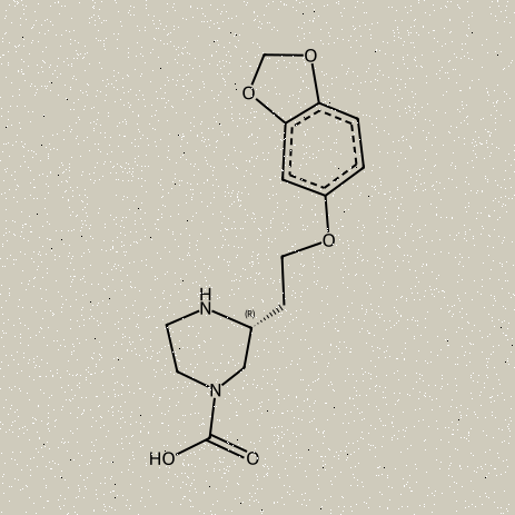 O=C(O)N1CCN[C@H](CCOc2ccc3c(c2)OCO3)C1